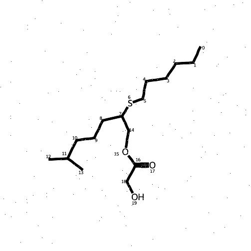 CCCCCCSC(CCCC(C)C)COC(=O)CO